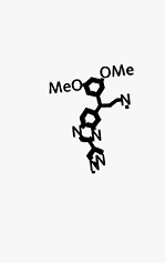 COc1cc(OC)cc(C(CCN(C)C)c2ccc3ncc(-c4cnn(C)c4)nc3c2)c1